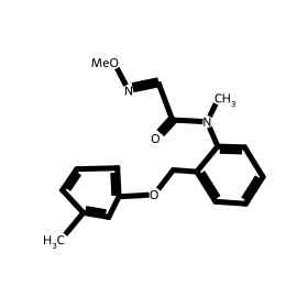 CON=CC(=O)N(C)c1ccccc1COc1cccc(C)c1